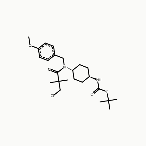 COc1ccc(CN(C(=O)C(C)(C)CCl)[C@H]2CC[C@H](NC(=O)OC(C)(C)C)CC2)cc1